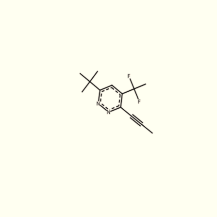 CC#Cc1nnc(C(C)(C)C)cc1C(C)(F)F